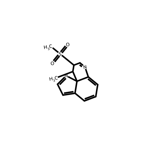 CC1C(S(C)(=O)=O)C=NC2=CC=CC3=CC=NC321